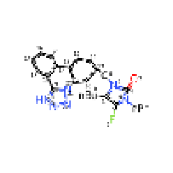 CCCCc1c(F)n(C(C)C)c(=O)n1Cc1ccc(-c2ccccc2-c2nnn[nH]2)cc1